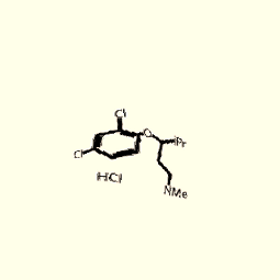 CNCCC(Oc1ccc(Cl)cc1Cl)C(C)C.Cl